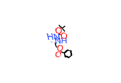 C[C@@H](COC(=O)c1ccccc1)NNC(=O)OC(C)(C)C